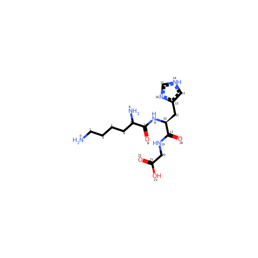 NCCCCC(N)C(=O)N[C@@H](Cc1c[nH]cn1)C(=O)NCC(=O)O